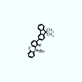 CC1(C)c2ccccc2-c2cc(-c3cccc(N(c4ccccc4F)C(C)(C)C)c3F)ccc21